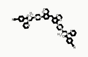 C[C@H](CN(C(=O)c1ccc(C#N)cc1)c1ccccn1)N1CCN(c2ccc(Cc3ccc(N4CCN([C@@H](C)CN(C(=O)c5ccc(C#N)cc5)c5ccccn5)CC4)c4c3CCOO4)c3c2OCCO3)CC1